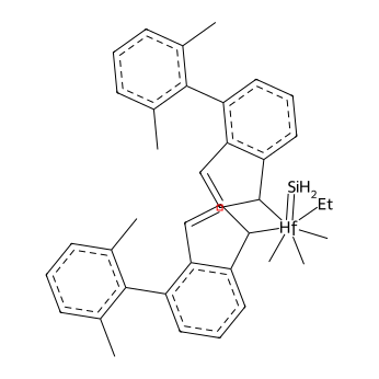 C[CH2][Hf]([CH3])([CH3])([CH3])(=[SiH2])([CH]1C=Cc2c(-c3c(C)cccc3C)cccc21)[CH]1C=Cc2c(-c3c(C)cccc3C)cccc21